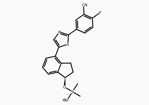 CC(C)(C)[Si](C)(C)O[C@@H]1CCc2c(-c3cnc(-c4ccc(F)c(C#N)c4)s3)cccc21